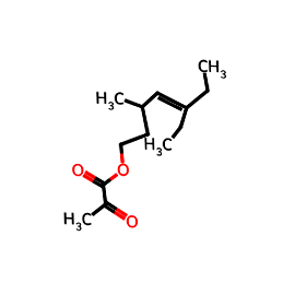 CCC(=CC(C)CCOC(=O)C(C)=O)CC